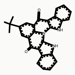 CC(C)(C)c1cc2c(=O)c3c4ccccc4[nH]c3n3c4[nH]c5ccccc5c4c(=O)c(c1)c23